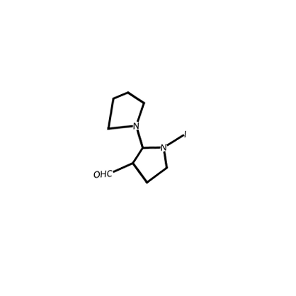 O=CC1CCN(I)C1N1CCCC1